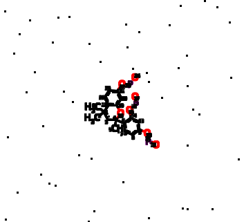 CC1(C)CC(C)(c2ccc(OP=O)cc2OP=O)Oc2cc(OP=O)ccc21